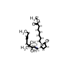 CCC#CCC(C)(C)[C@H](O)/C=C/[C@H]1CCC(=O)N1CCCCCCC(=O)OC